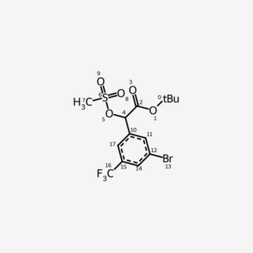 CC(C)(C)OC(=O)C(OS(C)(=O)=O)c1cc(Br)cc(C(F)(F)F)c1